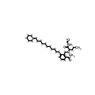 CCCC(C(=O)NC=O)N(C)Cc1c(C=O)cccc1SCCCCCCCCCCN1CCCCC1